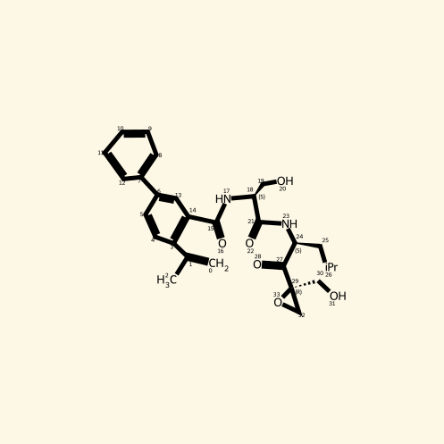 C=C(C)c1ccc(-c2ccccc2)cc1C(=O)N[C@@H](CO)C(=O)N[C@@H](CC(C)C)C(=O)[C@@]1(CO)CO1